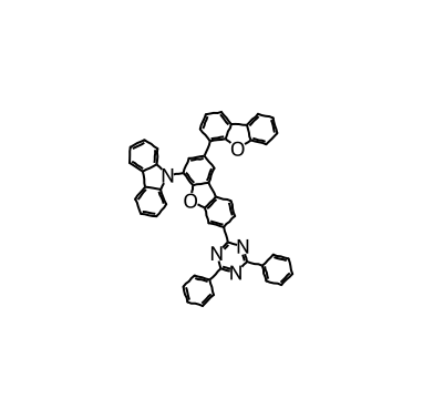 c1ccc(-c2nc(-c3ccccc3)nc(-c3ccc4c(c3)oc3c(-n5c6ccccc6c6ccccc65)cc(-c5cccc6c5oc5ccccc56)cc34)n2)cc1